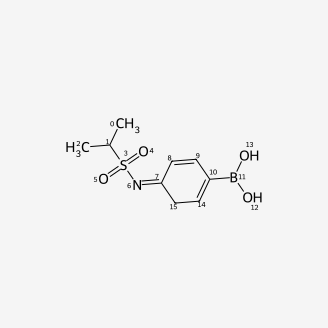 CC(C)S(=O)(=O)N=C1C=CC(B(O)O)=CC1